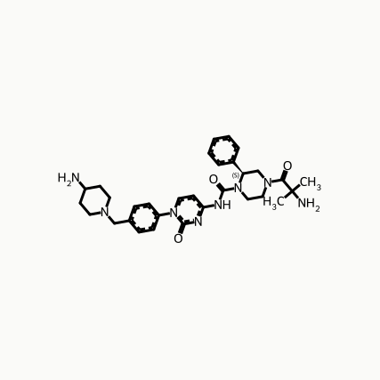 CC(C)(N)C(=O)N1CCN(C(=O)Nc2ccn(-c3ccc(CN4CCC(N)CC4)cc3)c(=O)n2)[C@@H](c2ccccc2)C1